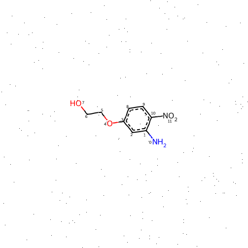 Nc1cc(OCCO)ccc1[N+](=O)[O-]